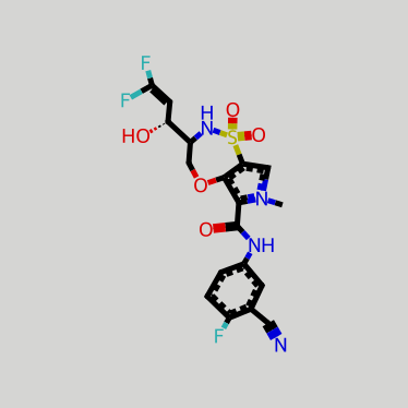 Cn1cc2c(c1C(=O)Nc1ccc(F)c(C#N)c1)OCC([C@H](O)C=C(F)F)NS2(=O)=O